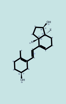 CC1=C(/C=C/C2=CCC[C@]3(C)[C@H](O)CC[C@@H]23)C[C@@H](O)CC1